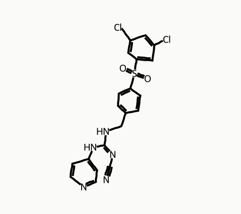 N#CN=C(NCc1ccc(S(=O)(=O)c2cc(Cl)cc(Cl)c2)cc1)Nc1ccncc1